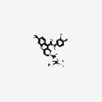 CC(C)(C)OC(=O)N1CCc2nc3cc(Cl)ccc3c(C(=O)Nc3ccc(F)c(F)c3)c2C1